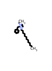 CCCCCCCCCCCCCN1C=CN(CC)C1Cc1ccccc1